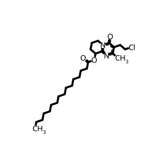 CCCCCCCCCCCCCCCC(=O)OC1CCCn2c1nc(C)c(CCCl)c2=O